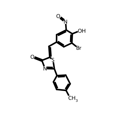 Cc1ccc(C2=NC(=O)/C(=C/c3cc(Br)c(O)c(N=O)c3)S2)cc1